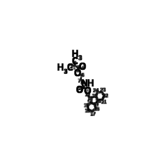 CC(C)C(=O)OCCNC(=O)OCC1c2ccccc2-c2ccccc21